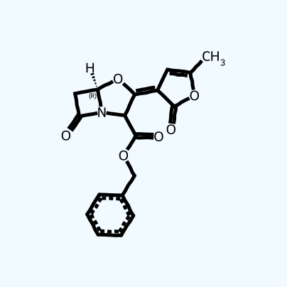 CC1=CC(=C2O[C@@H]3CC(=O)N3C2C(=O)OCc2ccccc2)C(=O)O1